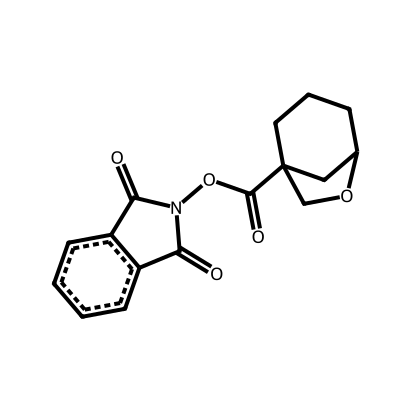 O=C1c2ccccc2C(=O)N1OC(=O)C12CCCC(C1)OC2